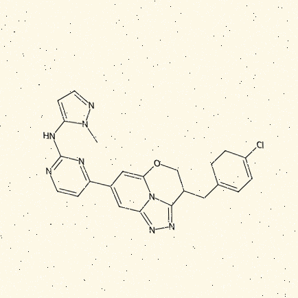 Cn1nccc1Nc1nccc(-c2cc3n4c(nnc4c2)C(CC2=CC=C(Cl)CC2)CO3)n1